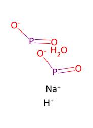 O.O=P[O-].O=P[O-].[H+].[Na+]